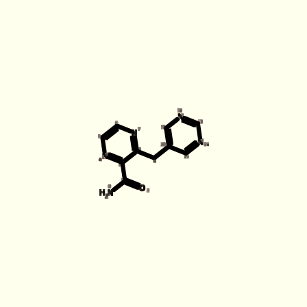 NC(=O)c1nccnc1Cc1cncnc1